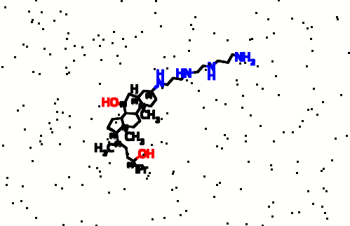 CC(C)[C@H](O)CC[C@@H](C)[C@H]1CCC2C3C(CC[C@@]21C)[C@@]1(C)CC[C@H](NCCCNCCNCCCN)C[C@@H]1C[C@@H]3O